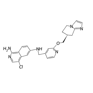 Nc1ncc(Cl)c2cc(NCc3ccnc(OC[C@H]4CCn5ccnc5C4)c3)ccc12